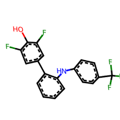 Oc1c(F)cc(-c2ccccc2Nc2ccc(C(F)(F)F)cc2)cc1F